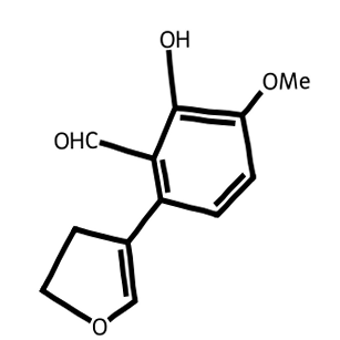 COc1ccc(C2=COCC2)c(C=O)c1O